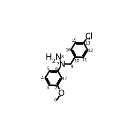 COc1cccc(N(N)Cc2ccc(Cl)cc2)c1